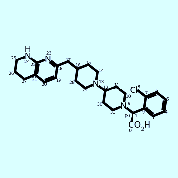 O=C(O)[C@H](c1ccccc1Cl)N1CCC(N2CCC(Cc3ccc4c(n3)NCCC4)CC2)CC1